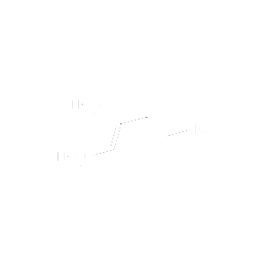 CCC(C)CCC(=CC(=O)O)C(=O)O